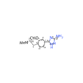 CN[C@H]([C]=O)Cc1ccc(-c2nc(N)n[nH]2)cc1